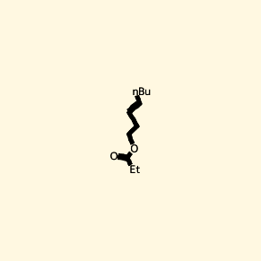 CCCCC=CCCOC(=O)CC